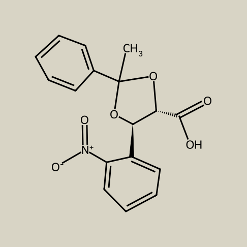 CC1(c2ccccc2)O[C@H](C(=O)O)[C@@H](c2ccccc2[N+](=O)[O-])O1